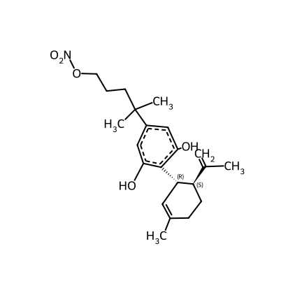 C=C(C)[C@H]1CCC(C)=C[C@@H]1c1c(O)cc(C(C)(C)CCCO[N+](=O)[O-])cc1O